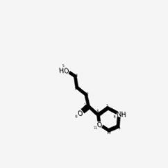 O=C(CCCO)C1CNCCO1